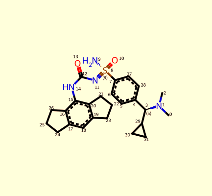 CN(C)[C@H](c1ccc([S@](N)(=O)=NC(=O)Nc2c3c(cc4c2CCC4)CCC3)cc1)C1CC1